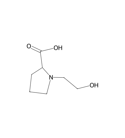 O=C(O)C1CCCN1CCO